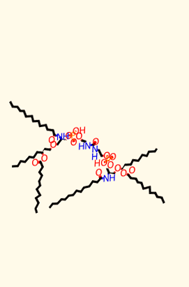 CCCCCCCCCCCCCC(=O)N[C@H](CO[C@@H](CCCCCCCCC)OC(=O)CCCCCCCCCCC)COP(=O)(O)OCCNC(=O)NCCOP(=O)(O)OC[C@H](COCC[C@@H](CCCCCCC)OC(=O)CCCCCCCCCCC)NC(=O)CCCCCCCCCCCCC